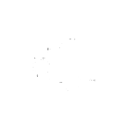 NC1CCC(Oc2cc(NCCO)ncn2)CC1